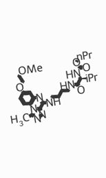 CCCOC(=O)N[C@H](C(=O)NCCCCNc1nc2cc(OCCOC)ccc2n2c(C)nnc12)C(C)C